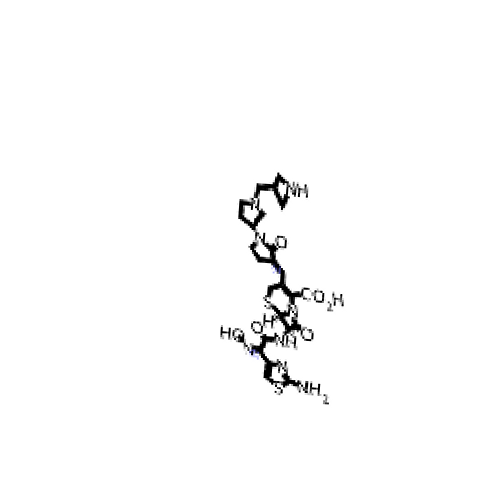 Nc1nc(/C(=N/O)C(=O)N[C@@H]2C(=O)N3C(C(=O)O)=C(/C=C4\CCN(C5CCN(CC6CNC6)C5)C4=O)CS[C@H]23)cs1